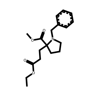 CCOC(=O)CCC1(C(=O)OC)CCCN1Cc1ccccc1